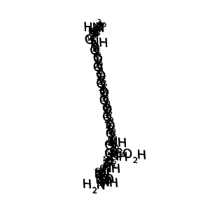 CC(C)=NNc1ccc(C(=O)NCCOCCOCCOCCOCCOCCOCCOCCOCCOCCOCCOCCNC(=O)CC[C@H](NC(=O)c2ccc(NCc3cnc4nc(N)[nH]c(=O)c4n3)cc2)C(=O)O)cn1